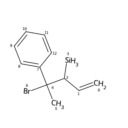 C=CC([SiH3])C(C)(Br)c1ccccc1